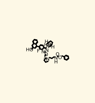 O=C(NCCCN1CCC[C@H]1COc1nc(N2C[C@H]3CC[C@@H](C2)N3)c2ccc(-c3cc(O)cc4ccccc34)c(F)c2n1)OCc1ccccc1